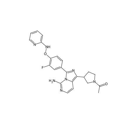 CC(=O)N1CCC(c2nc(-c3ccc(ONc4ccccn4)c(F)c3)n3c(N)nccc23)C1